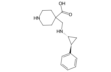 O=C(O)C1(CN[C@@H]2C[C@H]2c2ccccc2)CCNCC1